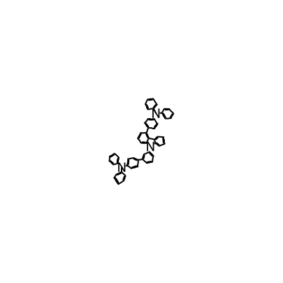 c1ccc(N(c2ccccc2)c2ccc(-c3cccc(-n4c5ccccc5c5c(-c6ccc(N(c7ccccc7)c7ccccc7)cc6)cccc54)c3)cc2)cc1